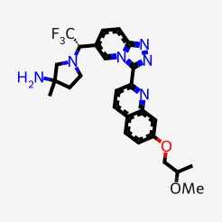 COC(C)COc1ccc2ccc(-c3nnc4ccc([C@H](N5CCC(C)(N)C5)C(F)(F)F)cn34)nc2c1